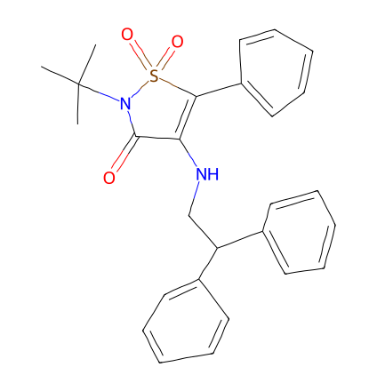 CC(C)(C)N1C(=O)C(NCC(c2ccccc2)c2ccccc2)=C(c2ccccc2)S1(=O)=O